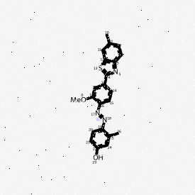 COc1cc(-c2nc3ccc(C)cc3s2)ccc1/N=N/c1ccc(O)cc1C